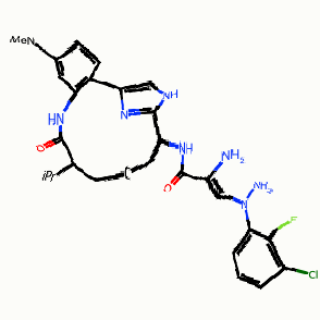 CNc1ccc2c(c1)NC(=O)C(C(C)C)CCCC(NC(=O)/C(N)=C/N(N)c1cccc(Cl)c1F)c1nc-2c[nH]1